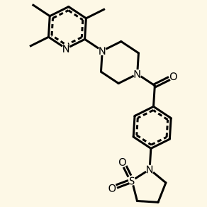 Cc1cc(C)c(N2CCN(C(=O)c3ccc(N4CCCS4(=O)=O)cc3)CC2)nc1C